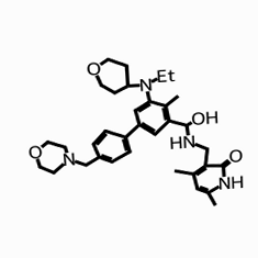 CCN(c1cc(-c2ccc(CN3CCOCC3)cc2)cc(C(O)NCc2c(C)cc(C)[nH]c2=O)c1C)C1CCOCC1